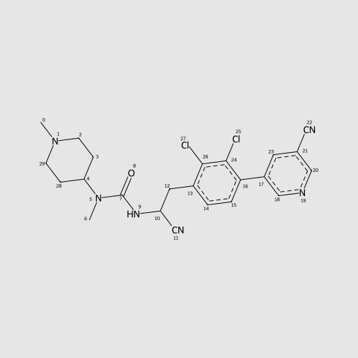 CN1CCC(N(C)C(=O)NC(C#N)Cc2ccc(-c3cncc(C#N)c3)c(Cl)c2Cl)CC1